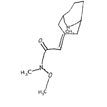 CON(C)C(=O)C=C1CC2CCC(C1)N2C